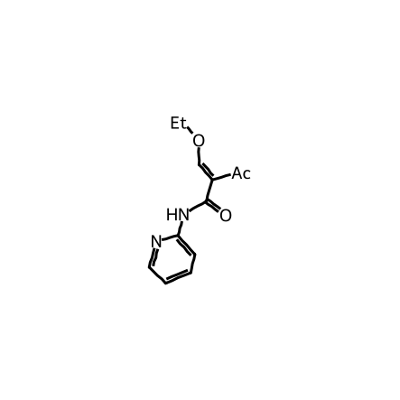 CCOC=C(C(C)=O)C(=O)Nc1ccccn1